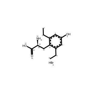 Br.CCc1cc(O)cc(CC)c1C[C@H](N)C(=O)O